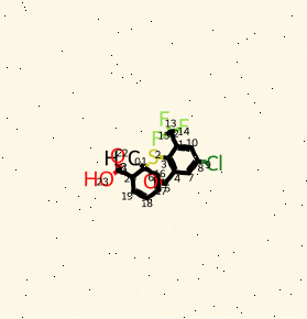 CC1(Sc2c(C=O)cc(Cl)cc2C(F)(F)F)C=CC=CC1C(=O)O